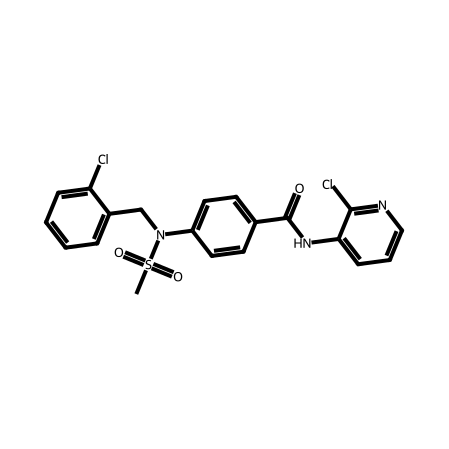 CS(=O)(=O)N(Cc1ccccc1Cl)c1ccc(C(=O)Nc2cccnc2Cl)cc1